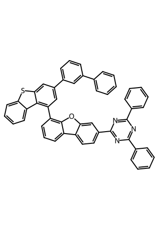 c1ccc(-c2cccc(-c3cc(-c4cccc5c4oc4cc(-c6nc(-c7ccccc7)nc(-c7ccccc7)n6)ccc45)c4c(c3)sc3ccccc34)c2)cc1